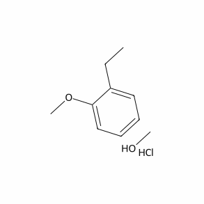 CCc1ccccc1OC.CO.Cl